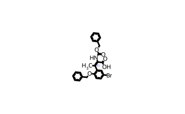 C/C(=C(\NC(=O)OCc1ccccc1)C(=O)O)c1cc(Br)ccc1OCc1ccccc1